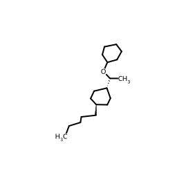 CCCCC[C@H]1CC[C@H](C(C)OC2CCCCC2)CC1